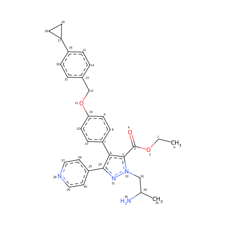 CCOC(=O)c1c(-c2ccc(OCc3ccc(C4CC4)cc3)cc2)c(-c2ccncc2)nn1CC(C)N